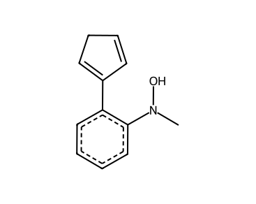 CN(O)c1ccccc1C1=CCC=C1